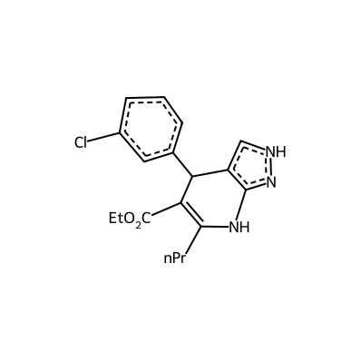 CCCC1=C(C(=O)OCC)C(c2cccc(Cl)c2)c2c[nH]nc2N1